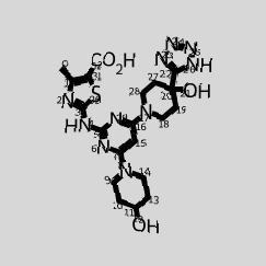 Cc1nc(Nc2nc(N3CCC(O)CC3)cc(N3CCC(O)(c4nnn[nH]4)CC3)n2)sc1C(=O)O